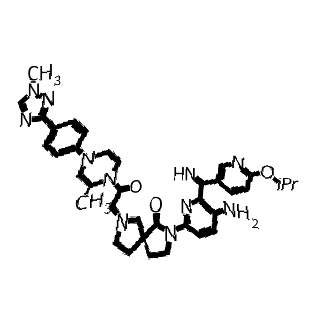 CC(C)Oc1ccc(C(=N)c2nc(N3CC[C@]4(CCN(CC(=O)N5CCN(c6ccc(-c7ncn(C)n7)cc6)C[C@@H]5C)C4)C3=O)ccc2N)cn1